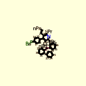 CCCC=Cc1c(C(C)C)nc(C(C)C)c(C(=O)OCC)c1-c1ccc(F)cc1.CCCC[P+](c1ccccc1)(c1ccccc1)c1ccccc1.[Br-]